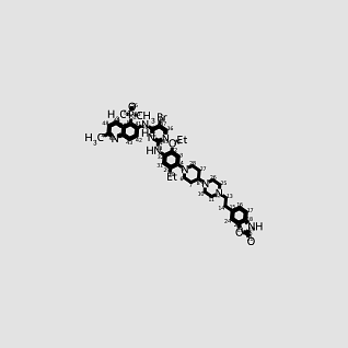 CCOc1cc(N2CCC(N3CCN(CCc4ccc5[nH]c(=O)oc5c4)CC3)CC2)c(CC)cc1Nc1ncc(Br)c(Nc2ccc3nc(C)ccc3c2P(C)(C)=O)n1